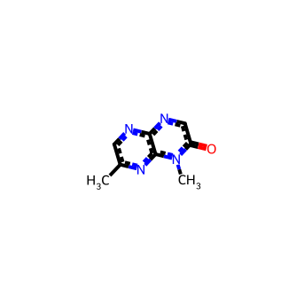 Cc1cnc2ncc(=O)n(C)c2n1